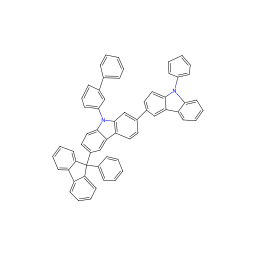 c1ccc(-c2cccc(-n3c4ccc(C5(c6ccccc6)c6ccccc6-c6ccccc65)cc4c4ccc(-c5ccc6c(c5)c5ccccc5n6-c5ccccc5)cc43)c2)cc1